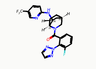 O=C(c1cccc(F)c1-n1nccn1)N1C[C@@H]2CC[C@H]1[C@H](Nc1ccc(C(F)(F)F)cn1)C2